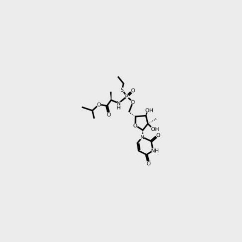 CCSP(=O)(N[C@H](C)C(=O)OC(C)C)OC[C@H]1O[C@@H](n2ccc(=O)[nH]c2=O)[C@](C)(O)[C@@H]1O